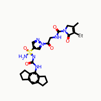 CCC1=C(C)CN(C(=O)NCC(=O)n2cc(S(N)(=O)=NC(=O)Nc3c4c(cc5c3CCC5)CCC4)cn2)C1=O